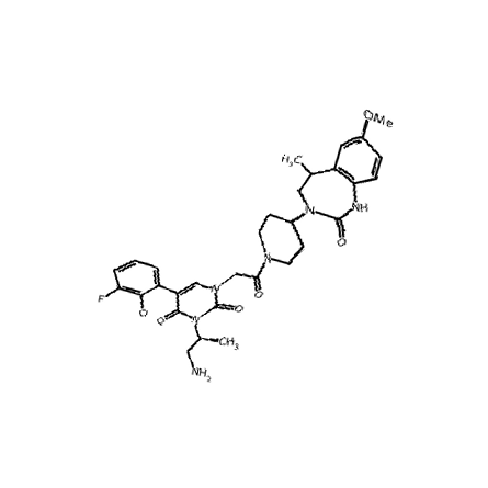 COc1ccc2c(c1)C(C)CN(C1CCN(C(=O)Cn3cc(-c4cccc(F)c4Cl)c(=O)n([C@@H](C)CN)c3=O)CC1)C(=O)N2